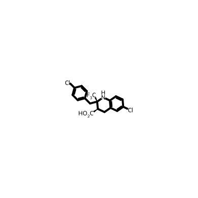 O=C(O)[C@@H]1Cc2cc(Cl)ccc2N[C@]1(Cc1ccc(Cl)cc1)C(F)(F)F